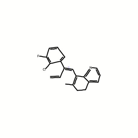 C=C/C(=C\C1=C(C)CCc2cccnc21)c1cccc(F)c1Cl